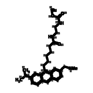 CNCc1ccc2cc3ccc(N(C)C)cc3[n+](CCCCCC(=O)NCCNC(=O)OC(C)(C)C)c2c1